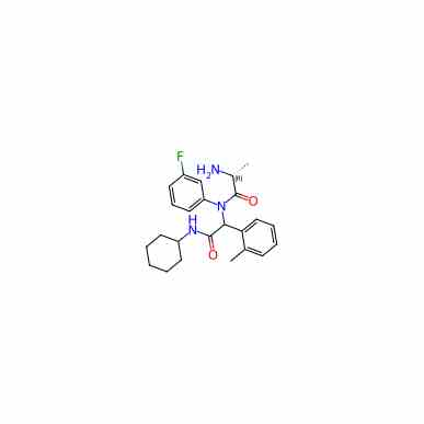 Cc1ccccc1C(C(=O)NC1CCCCC1)N(C(=O)[C@@H](C)N)c1cccc(F)c1